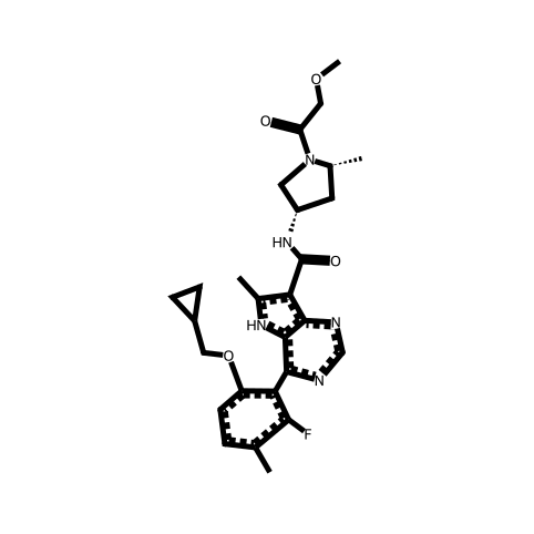 COCC(=O)N1C[C@@H](NC(=O)c2c(C)[nH]c3c(-c4c(OCC5CC5)ccc(C)c4F)ncnc23)C[C@H]1C